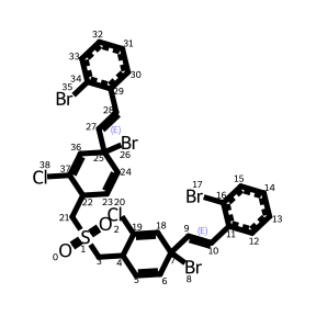 O=S(=O)(CC1C=CC(Br)(/C=C/c2ccccc2Br)C=C1Cl)CC1C=CC(Br)(/C=C/c2ccccc2Br)C=C1Cl